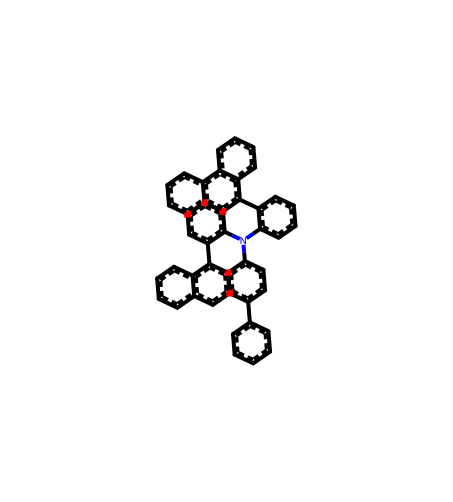 c1ccc(-c2ccc(N(c3ccccc3-c3cccc4ccccc34)c3ccccc3-c3cc4ccccc4c4ccccc34)cc2)cc1